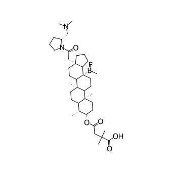 CB(F)[C@]12CCC3[C@@]4(C)CC[C@H](OC(=O)CC(C)(C)C(=O)O)[C@H](C)C4CC[C@@]3(C)C1CC[C@@]1(CC(=O)N3CCC[C@@H]3CN(C)C)CCCC12